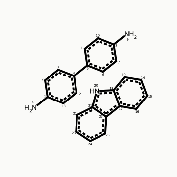 Nc1ccc(-c2ccc(N)cc2)cc1.c1ccc2c(c1)[nH]c1ccccc12